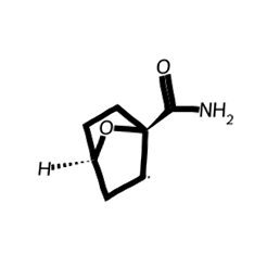 NC(=O)[C@]12[CH]C[C@@H](CC1)O2